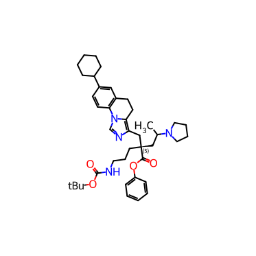 CC(C[C@@](CCCNC(=O)OC(C)(C)C)(Cc1ncn2c1CCc1cc(C3CCCCC3)ccc1-2)C(=O)Oc1ccccc1)N1CCCC1